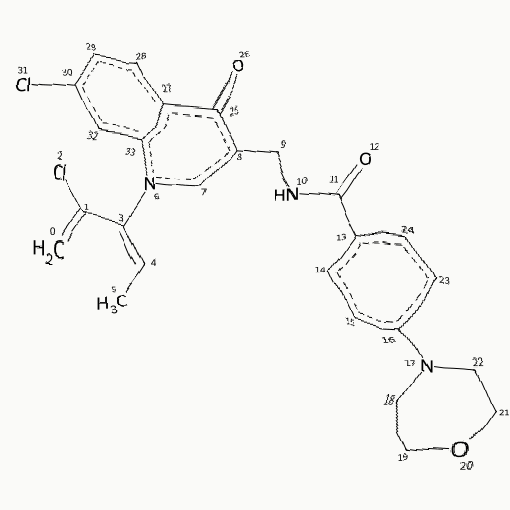 C=C(Cl)/C(=C\C)n1cc(CNC(=O)c2ccc(N3CCOCC3)cc2)c(=O)c2ccc(Cl)cc21